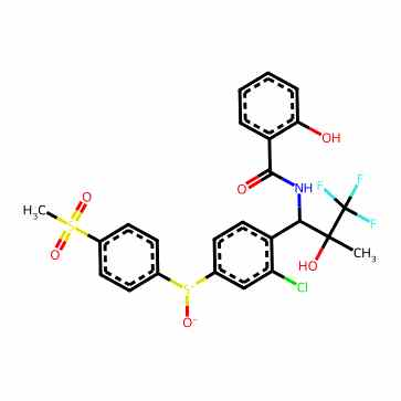 CC(O)(C(NC(=O)c1ccccc1O)c1ccc([S+]([O-])c2ccc(S(C)(=O)=O)cc2)cc1Cl)C(F)(F)F